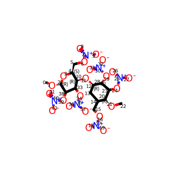 CO[C@@H]1O[C@@H](CO[N+](=O)[O-])[C@@H](O[C@@H]2CC(CO[N+](=O)[O-])[C@@H](OC)C(O[N+](=O)[O-])[C@@H]2O[N+](=O)[O-])C(O[N+](=O)[O-])C1O[N+](=O)[O-]